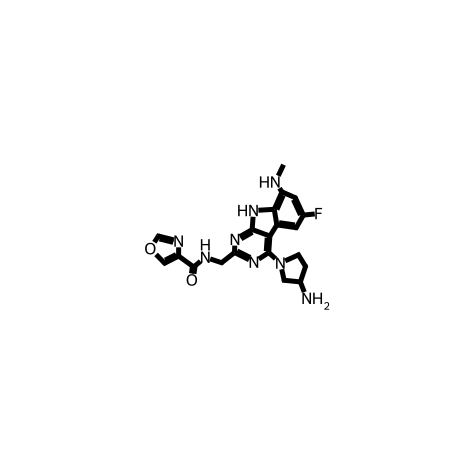 CNc1cc(F)cc2c1[nH]c1nc(CNC(=O)c3cocn3)nc(N3CCC(N)C3)c12